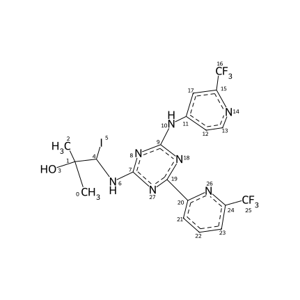 CC(C)(O)C(I)Nc1nc(Nc2ccnc(C(F)(F)F)c2)nc(-c2cccc(C(F)(F)F)n2)n1